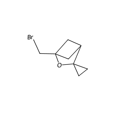 BrCC12CC(C1)C1(CC1)O2